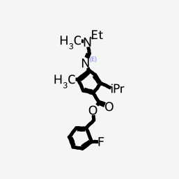 CCN(C)/C=N/c1cc(C(C)C)c(C(=O)OCc2ccccc2F)cc1C